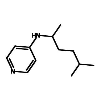 CC(C)CCC(C)Nc1ccncc1